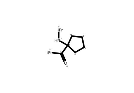 CC(C)NC1(C(=O)C(C)C)CCCC1